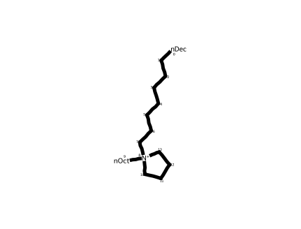 CCCCCCCCCCCCCCCCC[N+]1(CCCCCCCC)CCCC1